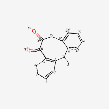 CC1C2=C(CCC=C2)C(=O)C(=O)Cc2ccccc21